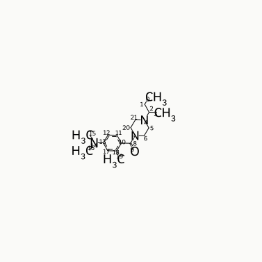 CCC(C)N1CCN(C(=O)c2ccc(N(C)C)cc2C)CC1